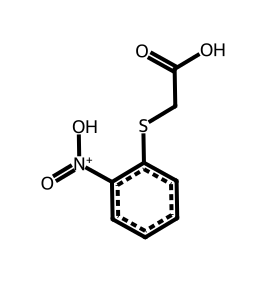 O=C(O)CSc1ccccc1[N+](=O)O